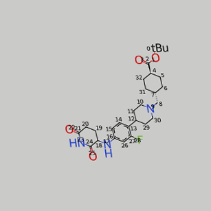 CC(C)(C)OC(=O)[C@H]1CC[C@H](CN2CCC(c3ccc(NC4CCC(=O)NC4=O)cc3F)CC2)CC1